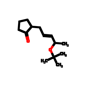 CC(C=CCC1CCCC1=O)O[Si](C)(C)C